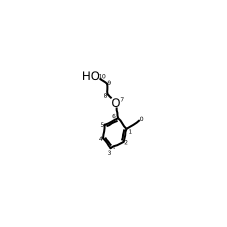 Cc1c[c]ccc1OCCO